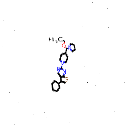 CCOC(C1CCN(c2ncc3c(C4CCCCC4)csc3n2)CC1)N1CCCC1